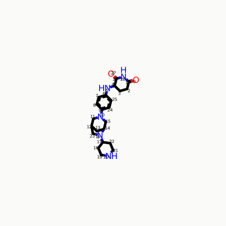 O=C1CCC(Nc2ccc(N3CC4CC(C3)N(C3CCNCC3)C4)cc2)C(=O)N1